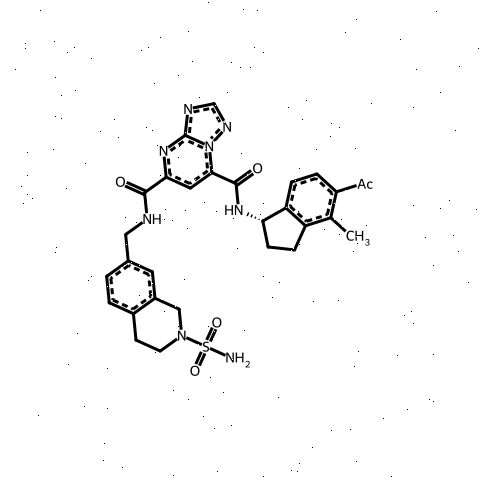 CC(=O)c1ccc2c(c1C)CC[C@@H]2NC(=O)c1cc(C(=O)NCc2ccc3c(c2)CN(S(N)(=O)=O)CC3)nc2ncnn12